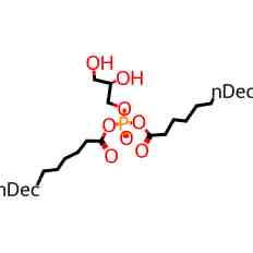 CCCCCCCCCCCCCCCC(=O)OP(=O)(OC[C@H](O)CO)OC(=O)CCCCCCCCCCCCCCC